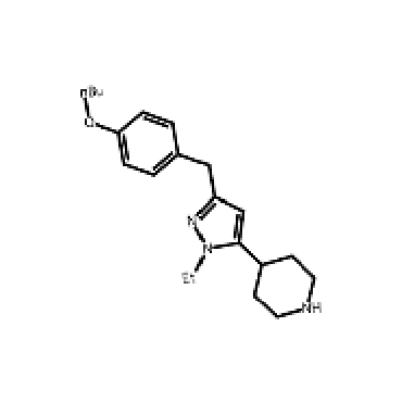 CCCCOc1ccc(Cc2cc(C3CCNCC3)n(CC)n2)cc1